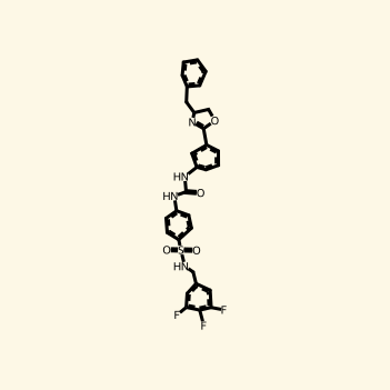 O=C(Nc1ccc(S(=O)(=O)NCc2cc(F)c(F)c(F)c2)cc1)Nc1cccc(C2=NC(Cc3ccccc3)CO2)c1